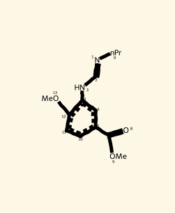 CCCN=CNc1cc(C(=O)OC)ccc1OC